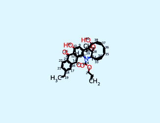 C=CCOC(=O)N1c2c(cc(O)c3c2C(=O)c2cc(CC)ccc2C3=O)[C@@]23O[C@@]2(C(C)C)[C@@H]1C#C/C=C\C#C[C@@H]3O